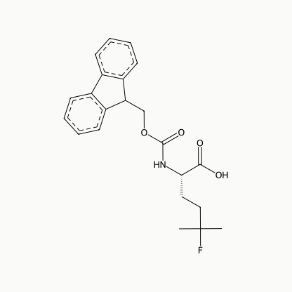 CC(C)(F)CC[C@H](NC(=O)OCC1c2ccccc2-c2ccccc21)C(=O)O